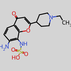 CCN1CCC(c2cc(=O)c3ccc(N)c(NS(=O)(=O)O)c3o2)CC1